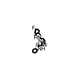 O=C(Nc1ccccc1)c1cnn2ccc(NCc3ccc(F)cc3F)nc12